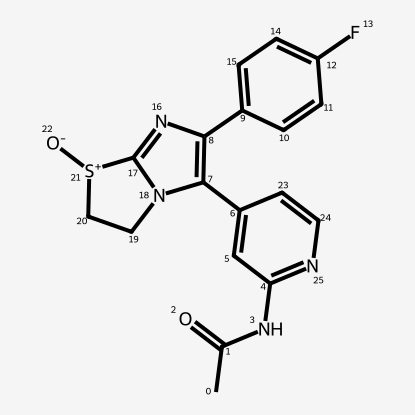 CC(=O)Nc1cc(-c2c(-c3ccc(F)cc3)nc3n2CC[S+]3[O-])ccn1